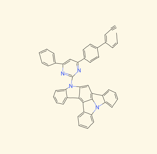 C#C/C=C(\C=C/C)c1ccc(-c2cc(-c3ccccc3)nc(-n3c4ccccc4c4c5c6ccccc6n6c7ccccc7c(cc43)c56)n2)cc1